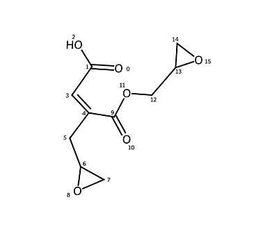 O=C(O)C=C(CC1CO1)C(=O)OCC1CO1